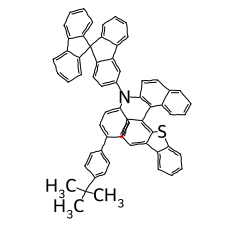 CC(C)(C)c1ccc(-c2ccc(N(c3ccc4c(c3)-c3ccccc3C43c4ccccc4-c4ccccc43)c3ccc4ccccc4c3-c3cccc4c3sc3ccccc34)cc2)cc1